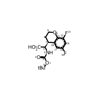 CC(C)(C)OC(=O)NC(C(=O)O)[C@H]1CCOc2c(F)cc(F)cc21